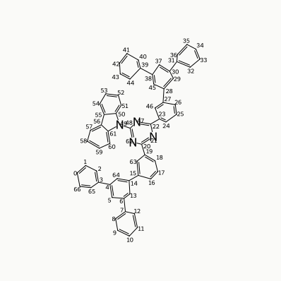 c1ccc(-c2cc(-c3ccccc3)cc(-c3cccc(-c4nc(-c5cccc(-c6cc(-c7ccccc7)cc(-c7ccccc7)c6)c5)nc(-n5c6ccccc6c6ccccc65)n4)c3)c2)cc1